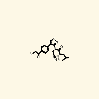 CC(C)C[C@H](N)C(=O)N(CC#N)c1nscc1-c1ccc(C(=O)CBr)cc1